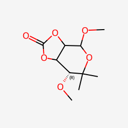 COC1OC(C)(C)[C@H](OC)C2OC(=O)OC12